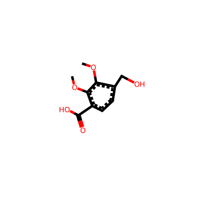 COc1c(CO)ccc(C(=O)O)c1OC